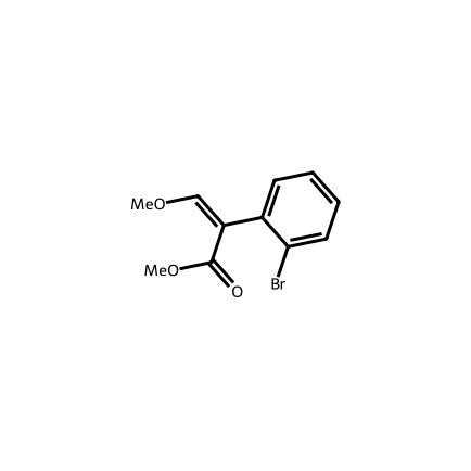 CO/C=C(\C(=O)OC)c1ccccc1Br